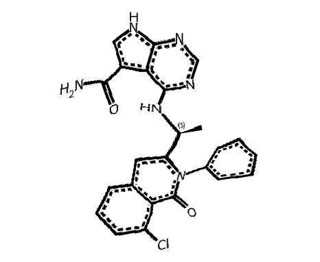 C[C@H](Nc1ncnc2[nH]cc(C(N)=O)c12)c1cc2cccc(Cl)c2c(=O)n1-c1ccccc1